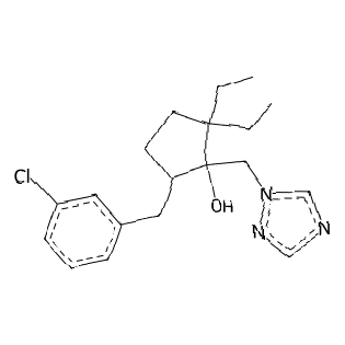 CCC1(CC)CCC(Cc2cccc(Cl)c2)C1(O)Cn1cncn1